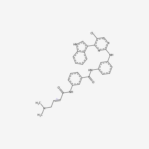 CN(C)C/C=C/C(=O)Nc1cccc(C(=O)Nc2cccc(Nc3ncc(Cl)c(-c4c[nH]c5ccccc45)n3)c2)c1